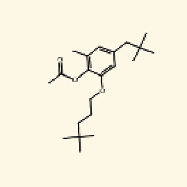 CC(=O)Oc1c(C)cc(CC(C)(C)C)cc1OCCCC(C)(C)C